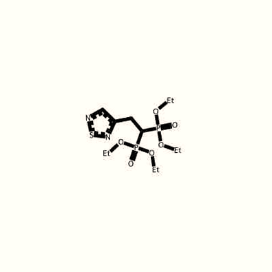 CCOP(=O)(OCC)C(Cc1cnsn1)P(=O)(OCC)OCC